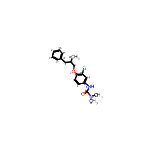 CC(COc1ccc(NC(=O)N(C)C)cc1Cl)Cc1ccccc1